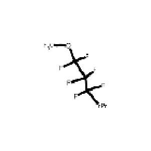 CCCC(F)(F)C(F)(F)C(F)(F)OC(F)(F)F